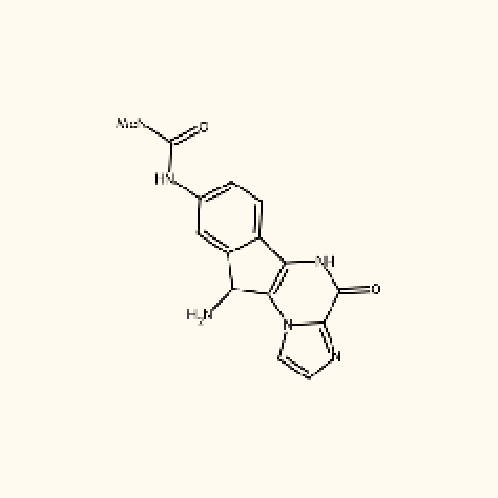 CNC(=O)Nc1ccc2c(c1)C(N)c1c-2[nH]c(=O)c2nccn12